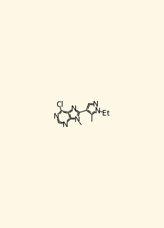 CCn1ncc(-c2nc3c(Cl)ncnc3n2C)c1C